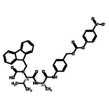 CC(C)[C@@H](C(=O)N[C@@H](C)C(=O)Nc1ccc(COC(=O)Oc2ccc([N+](=O)[O-])cc2)cc1)N(CC1c2ccccc2-c2ccccc21)C(=O)O